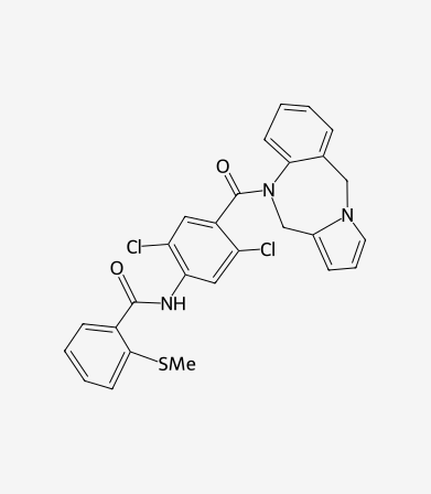 CSc1ccccc1C(=O)Nc1cc(Cl)c(C(=O)N2Cc3cccn3Cc3ccccc32)cc1Cl